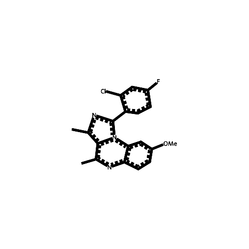 COc1ccc2nc(C)c3c(C)nc(-c4ccc(F)cc4Cl)n3c2c1